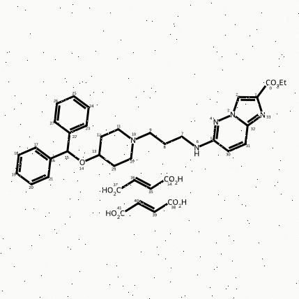 CCOC(=O)c1cn2nc(NCCCN3CCC(OC(c4ccccc4)c4ccccc4)CC3)ccc2n1.O=C(O)/C=C/C(=O)O.O=C(O)/C=C/C(=O)O